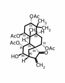 C=C1C(=O)[C@]23C[C@H]1[C@@H](O)[C@H](OC(C)=O)[C@H]2[C@]1(C)[C@@H](OC(C)=O)C[C@H](OC(C)=O)C(C)(C)[C@H]1C[C@@H]3OC(C)=O